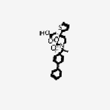 C[C@H](N1CC[C@](CC(=O)O)(c2cccs2)OC1=O)C1(F)C=CC(c2ccccc2)C=C1